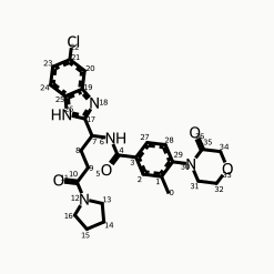 Cc1cc(C(=O)NC(CCC(=O)N2CCCC2)c2nc3cc(Cl)ccc3[nH]2)ccc1N1CCOCC1=O